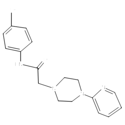 O=C(CN1CCN(c2ccccn2)CC1)Nc1ccc(C(F)(F)F)cc1